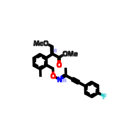 CO/C=C(/C(=O)OC)c1cccc(C)c1CO/N=C(\C)C#Cc1ccc(F)cc1